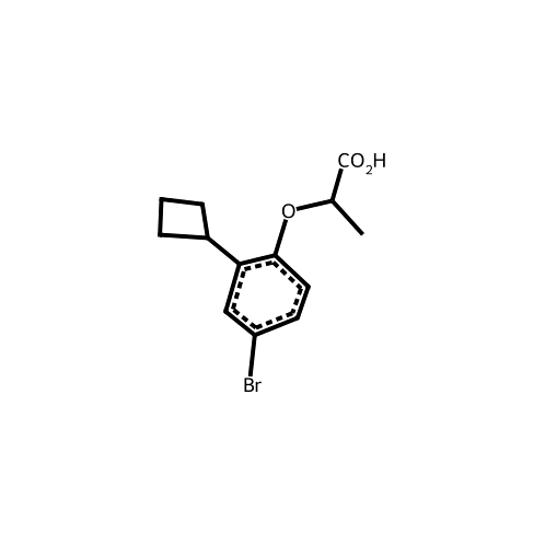 CC(Oc1ccc(Br)cc1C1CCC1)C(=O)O